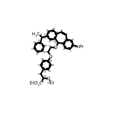 CCCc1ccc2c(c1)C=Cc1ccc(C(C)c3ccccc3)cc1C2OCCOc1ccc(CC(OCC)C(=O)OCC)cc1